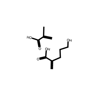 C=C(C)C(=O)O.C=C(CCCO)C(=O)O